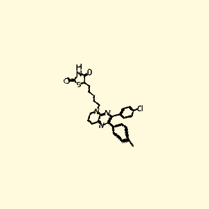 Cc1ccc(-c2nc3c(nc2-c2ccc(Cl)cc2)N(CCCCCC2SC(=O)NC2=O)CCC3)cc1